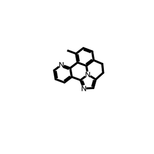 Cc1ccc2c3c1c1ncccc1c1ncc(n13)CC2